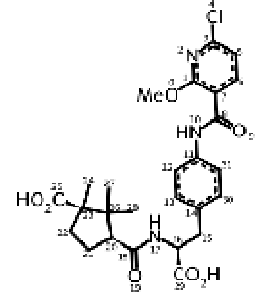 COc1nc(Cl)ccc1C(=O)Nc1ccc(C[C@H](NC(=O)[C@H]2CC[C@@](C)(C(=O)O)C2(C)C)C(=O)O)cc1